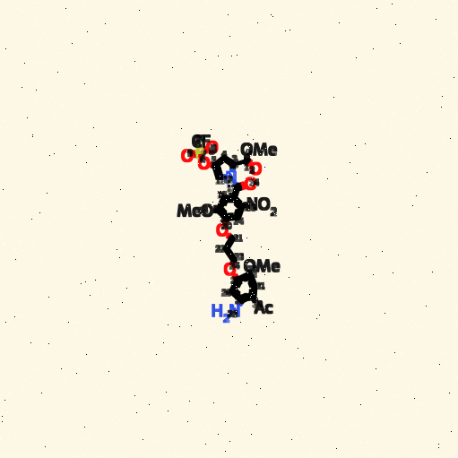 COC(=O)[C@@H]1CC(OS(=O)(=O)C(F)(F)F)=CN1C(=O)c1cc(OC)c(OCCCOc2cc(N)c(C(C)=O)cc2OC)cc1[N+](=O)[O-]